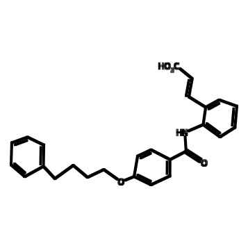 O=C(O)C=Cc1ccccc1NC(=O)c1ccc(OCCCCc2ccccc2)cc1